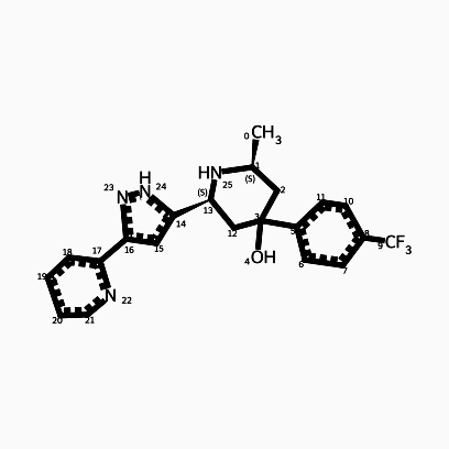 C[C@H]1CC(O)(c2ccc(C(F)(F)F)cc2)C[C@@H](c2cc(-c3ccccn3)n[nH]2)N1